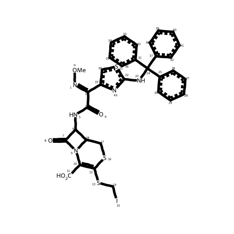 CON=C(C(=O)NC1C(=O)N2C(C(=O)O)=C(SCI)SCC12)c1csc(NC(c2ccccc2)(c2ccccc2)c2ccccc2)n1